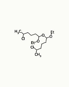 CCOC(CCCC(C)Cl)OC(CCCC(C)Cl)OCC